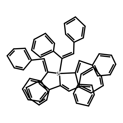 C(=C(c1ccccc1)[Si](C(=Cc1ccccc1)c1ccccc1)(C(=Cc1ccccc1)c1ccccc1)C(=Cc1ccccc1)c1ccccc1)c1ccccc1